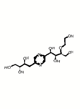 OCCO[C@@H](CO)[C@@H](O)[C@H](O)c1cnc(C[C@H](O)[C@H](O)CO)cn1